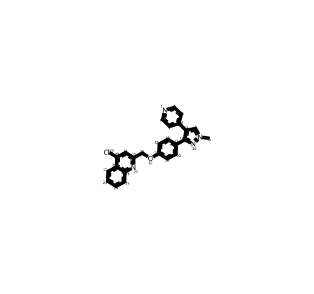 Cn1cc(-c2ccncc2)c(-c2ccc(OCc3cc(Cl)c4ccccc4n3)cc2)n1